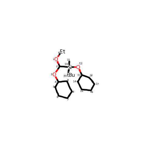 CCOC(OC1CCCCC1)[Si](C)(OC1CCCCC1)C(C)(C)C